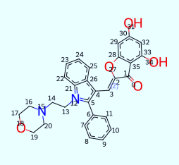 O=C1/C(=C/c2c(-c3ccccc3)n(CCN3CCOCC3)c3ccccc23)Oc2cc(O)cc(O)c21